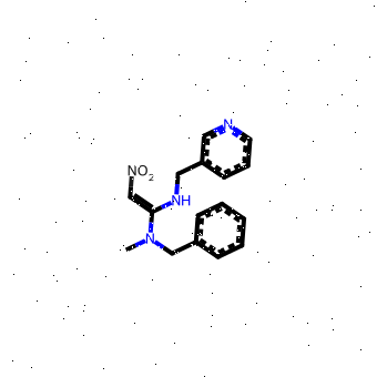 CN(Cc1ccccc1)C(=C[N+](=O)[O-])NCc1cccnc1